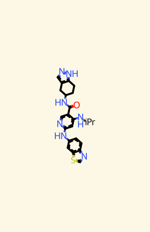 CC(C)Nc1cc(Nc2ccc3ncsc3c2)ncc1C(=O)NC1CCc2[nH]ncc2C1